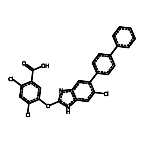 O=C(O)c1cc(Oc2nc3cc(-c4ccc(-c5ccccc5)cc4)c(Cl)cc3[nH]2)c(Cl)cc1Cl